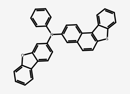 c1ccc(N(c2ccc3c(ccc4sc5ccccc5c43)c2)c2ccc3c(c2)oc2ccccc23)cc1